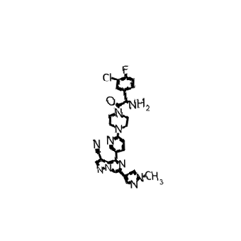 Cn1cc(-c2cn3ncc(C#N)c3c(-c3ccc(N4CCN(C(=O)C(N)c5ccc(F)c(Cl)c5)CC4)nc3)n2)cn1